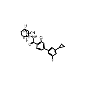 N#CN1[C@H]2CC[C@@H]1[C@H](NC(=O)c1ccc(-c3cc(F)cc(C4CC4)c3)cc1Cl)C2